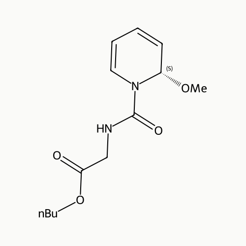 CCCCOC(=O)CNC(=O)N1C=CC=C[C@@H]1OC